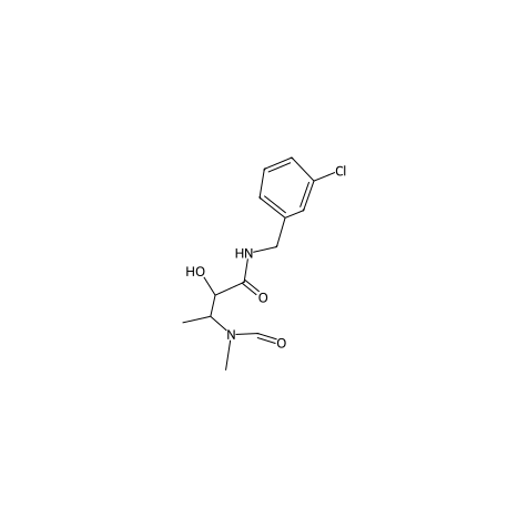 CC(C(O)C(=O)NCc1cccc(Cl)c1)N(C)C=O